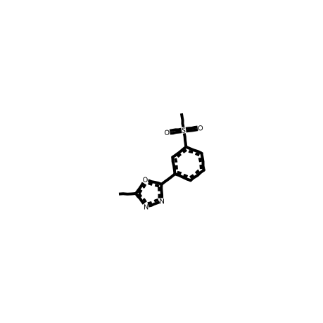 Cc1nnc(-c2cccc(S(C)(=O)=O)c2)o1